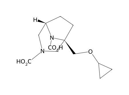 O=C(O)N1C[C@@H]2CC[C@](COC3CC3)(C1)N2C(=O)O